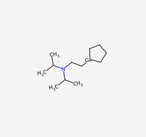 CC(C)N(C[CH2][Ga]1[CH2]CC[CH2]1)C(C)C